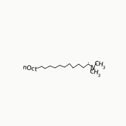 CCCCCCCCCCCCCCCCCC[CH]N(C)C